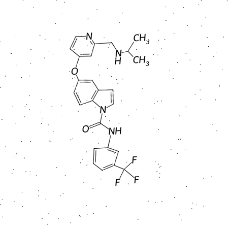 CC(C)NCc1cc(Oc2ccc3c(ccn3C(=O)Nc3cccc(C(F)(F)F)c3)c2)ccn1